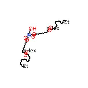 CC/C=C\C/C=C\C/C=C\C/C=C\C/C=C\C/C=C\CCC(=O)OC(C/C=C\CCCCCCCCOC(=O)CCN(CCCCO)CCC(=O)OCCCCCCCC/C=C\CC(CCCCCC)OC(=O)CC/C=C\C/C=C\C/C=C\C/C=C\C/C=C\C/C=C\CC)CCCCCC